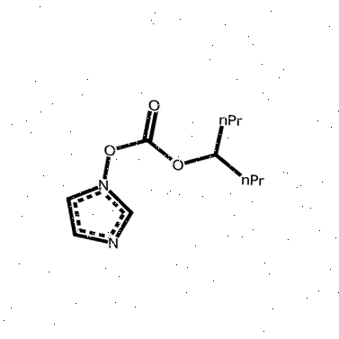 CCCC(CCC)OC(=O)On1ccnc1